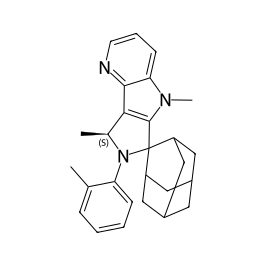 Cc1ccccc1N1[C@@H](C)c2c(n(C)c3cccnc23)C12C1CC3CC(C1)CC2C3